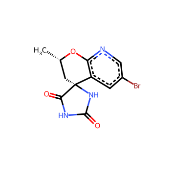 C[C@H]1C[C@@]2(NC(=O)NC2=O)c2cc(Br)cnc2O1